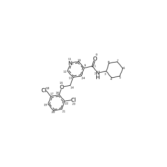 O=C(NC1CCCCC1)c1cncc(COc2c(Cl)cccc2Cl)c1